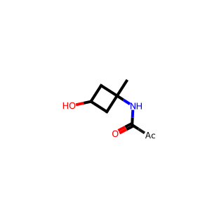 CC(=O)C(=O)NC1(C)CC(O)C1